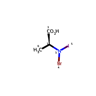 C[C@@H](C(=O)O)N(Br)I